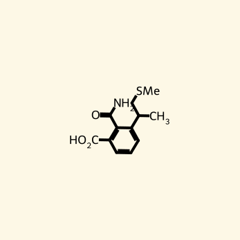 CSCC(C)c1cccc(C(=O)O)c1C(N)=O